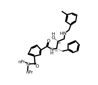 CCCN(CCC)C(=O)c1cccc(C(=O)N[C@@H](Cc2ccccc2)[C@H](O)CNCc2cccc(C)c2)c1